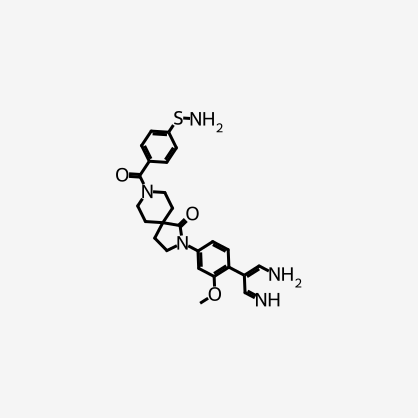 COc1cc(N2CCC3(CCN(C(=O)c4ccc(SN)cc4)CC3)C2=O)ccc1/C(C=N)=C/N